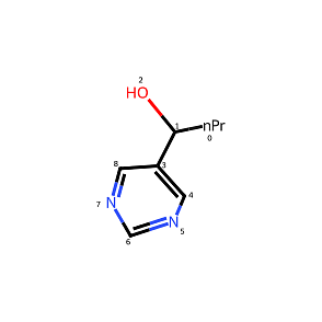 CCCC(O)c1cncnc1